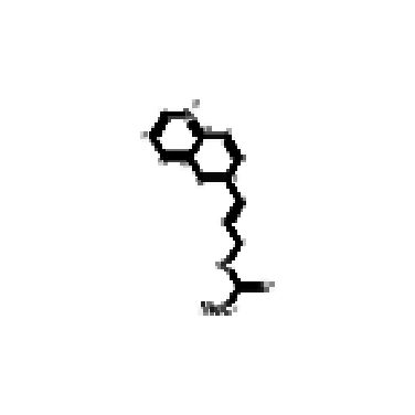 COC(=O)OCC=Cc1ccc2ncccc2c1